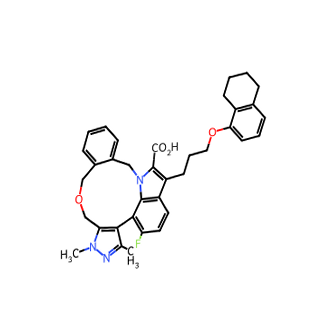 Cc1nn(C)c2c1-c1c(F)ccc3c(CCCOc4cccc5c4CCCC5)c(C(=O)O)n(c13)Cc1ccccc1COC2